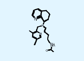 CC(=O)NCCCCN(Cc1ncc(C)cc1C)C1CCCc2cccnc21